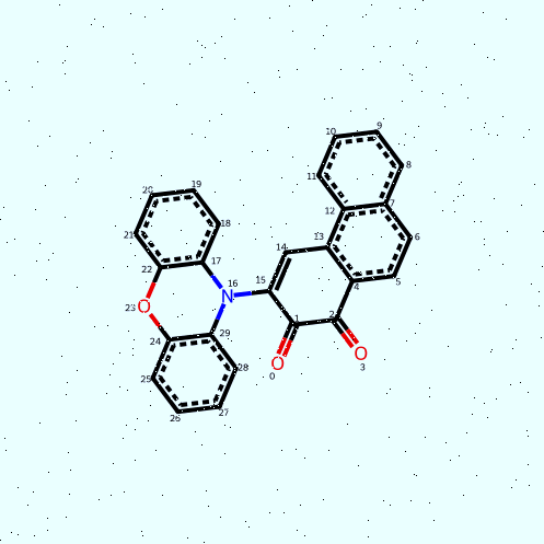 O=C1C(=O)c2ccc3ccccc3c2C=C1N1c2ccccc2Oc2ccccc21